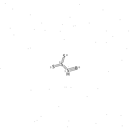 B#[SH]=S(=S)=S